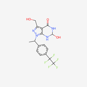 CC(c1ccc(C(F)(F)C(F)(F)F)cc1)n1nc(CO)c2c1NC(O)NC2=O